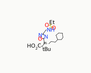 CCS(=O)(=O)NCc1noc([C@H](CCCC2CCCCC2)C(C(=O)O)C(C)(C)C)n1